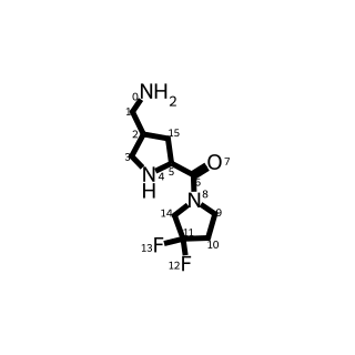 NCC1CNC(C(=O)N2CCC(F)(F)C2)C1